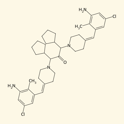 Cc1c(N)cc(Cl)cc1C=C1CCN(C(C(=O)C(C2CCCC2)N2CCC(=Cc3cc(Cl)cc(N)c3C)CC2)C2CCCC2)CC1